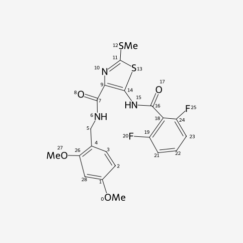 COc1ccc(CNC(=O)c2nc(SC)sc2NC(=O)c2c(F)cccc2F)c(OC)c1